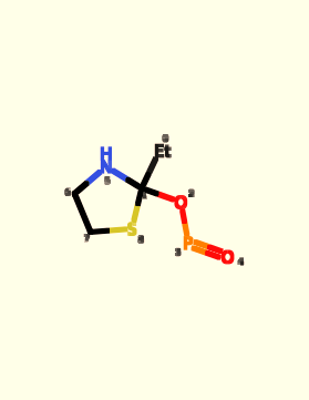 CCC1(OP=O)NCCS1